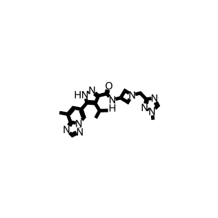 Cc1cc(-c2[nH]nc(C(=O)NC3CN(Cc4ncn(C)n4)C3)c2C(C)C)cn2ncnc12